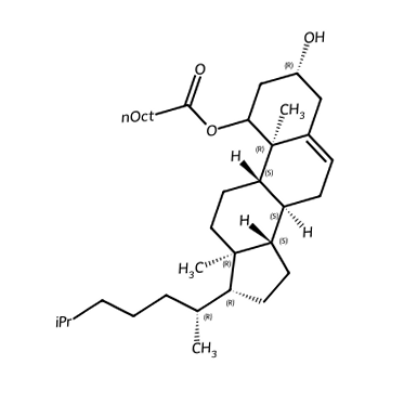 CCCCCCCCC(=O)OC1C[C@H](O)CC2=CC[C@H]3[C@@H]4CC[C@H]([C@H](C)CCCC(C)C)[C@@]4(C)CC[C@@H]3[C@]21C